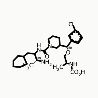 CC(CO[C@@H](c1cccc(Cl)c1)C1CCCN(C(=O)NC(CC2CCCCC2)[C@@H](C)N)C1)NC(=O)O